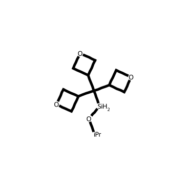 CC(C)O[SiH2]C(C1COC1)(C1COC1)C1COC1